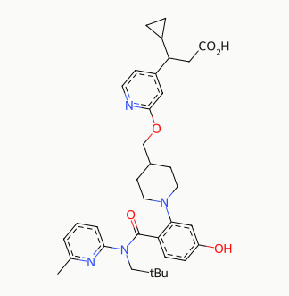 Cc1cccc(N(CC(C)(C)C)C(=O)c2ccc(O)cc2N2CCC(COc3cc(C(CC(=O)O)C4CC4)ccn3)CC2)n1